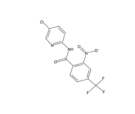 O=C(Nc1ccc(Cl)cn1)c1ccc(C(F)(F)F)cc1[N+](=O)[O-]